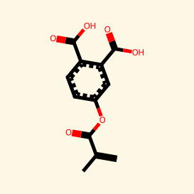 C=C(C)C(=O)Oc1ccc(C(=O)O)c(C(=O)O)c1